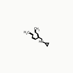 C=C/C=C\C(=C/C=C)CNC1CC1